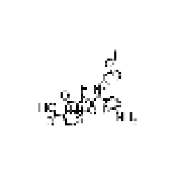 CCOC(=O)CON=C(C(=O)NC1C(=O)N2C(C(=O)O)=CCS[C@@H]12)c1csc(N)n1